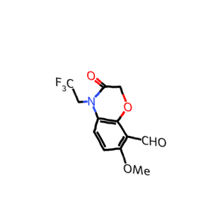 COc1ccc2c(c1C=O)OCC(=O)N2CC(F)(F)F